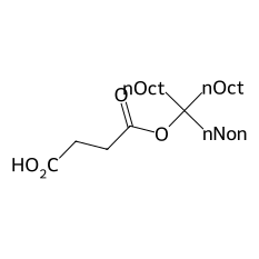 CCCCCCCCCC(CCCCCCCC)(CCCCCCCC)OC(=O)CCC(=O)O